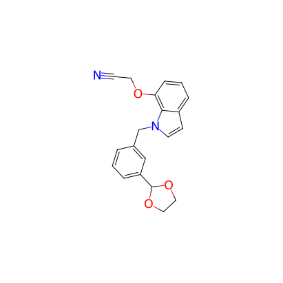 N#CCOc1cccc2ccn(Cc3cccc(C4OCCO4)c3)c12